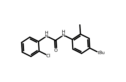 Cc1cc(C(C)(C)C)ccc1NC(=O)Nc1ccccc1Cl